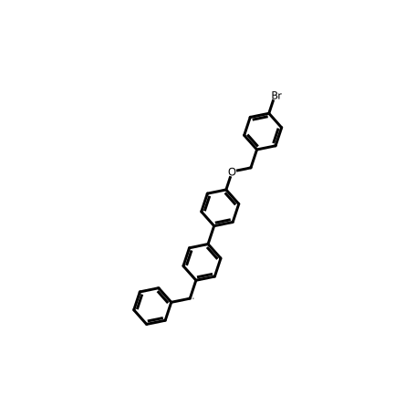 Brc1ccc(COc2ccc(-c3ccc([CH]c4ccccc4)cc3)cc2)cc1